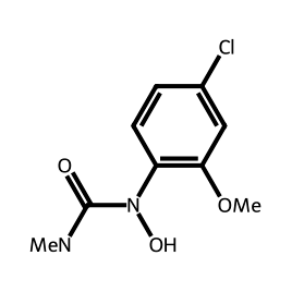 CNC(=O)N(O)c1ccc(Cl)cc1OC